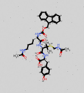 CC(=O)NCCCC[C@H](NC(=O)OCC1c2ccccc2-c2ccccc21)C(=O)N[C@H](C(=O)N[C@@H](Cc1ccc(O)cc1)C(=O)O)C(C)(C)SCNC(C)=O